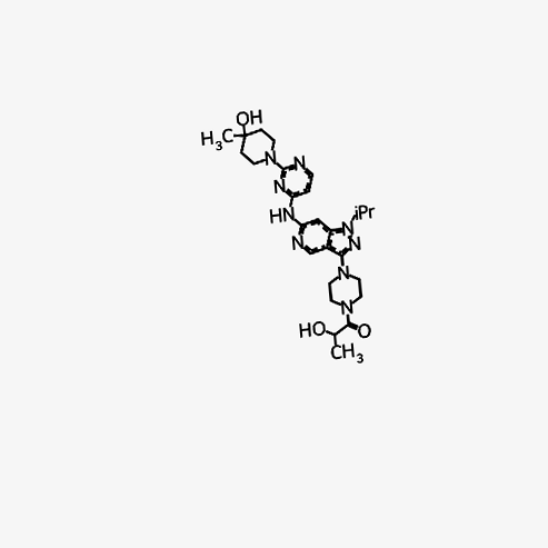 CC(O)C(=O)N1CCN(c2nn(C(C)C)c3cc(Nc4ccnc(N5CCC(C)(O)CC5)n4)ncc23)CC1